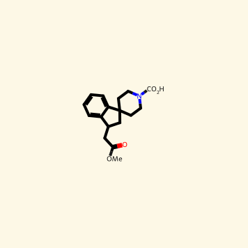 COC(=O)CC1CC2(CCN(C(=O)O)CC2)c2ccccc21